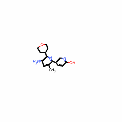 Cc1cc(N)c(C2CCOCC2)nc1-c1ccc(O)nc1